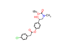 CN(CC(O)c1ccc(OC(=O)Cc2ccc(Cl)cc2)cc1)C(=O)OC(C)(C)C